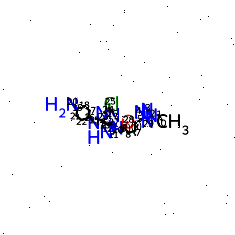 CCn1nnc([C@H]2[CH][CH][C@H](n3cnc4c(N[C@H]5CC[C@H](N)CC5)nc(Cl)nc43)O2)n1